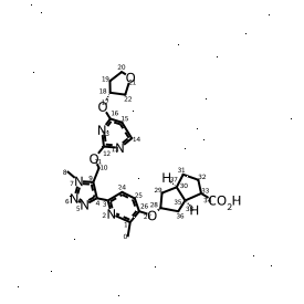 Cc1nc(-c2nnn(C)c2COc2nccc(O[C@@H]3CCOC3)n2)ccc1O[C@@H]1C[C@H]2CCC(C(=O)O)[C@H]2C1